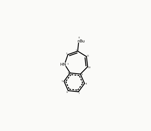 CCCCC1=CNc2ccccc2C=C1